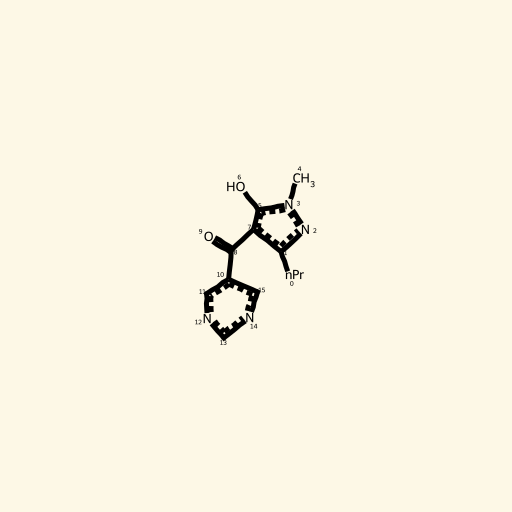 CCCc1nn(C)c(O)c1C(=O)c1cncnc1